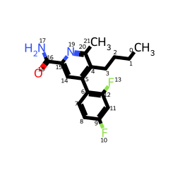 CCCCc1c(-c2ccc(F)cc2F)cc(C(N)=O)nc1C